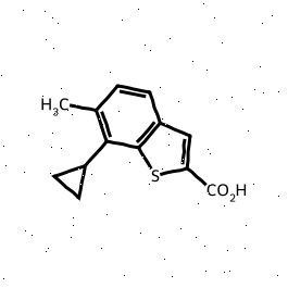 Cc1ccc2cc(C(=O)O)sc2c1C1CC1